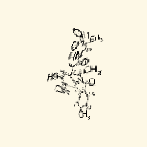 Cc1ccc(C(=O)n2c(C)c(CC(=O)NCC(C)C(=O)O)c3cc(O)c(Cl)cc32)cc1